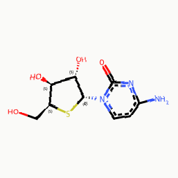 Nc1ccn([C@@H]2S[C@@H](CO)[C@@H](O)[C@@H]2O)c(=O)n1